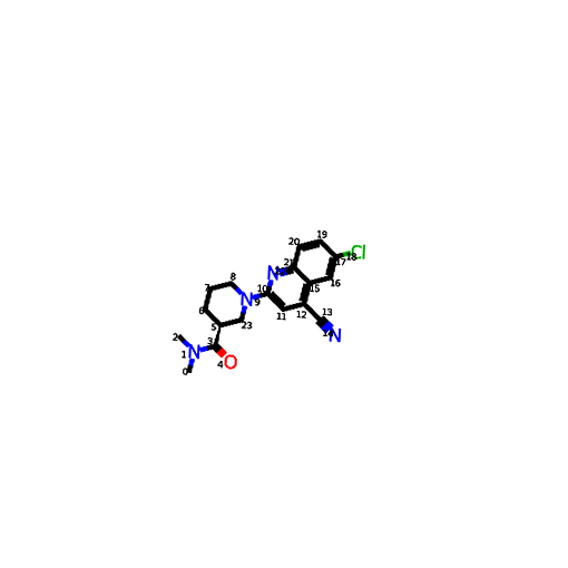 CN(C)C(=O)[C@H]1CCCN(c2cc(C#N)c3cc(Cl)ccc3n2)C1